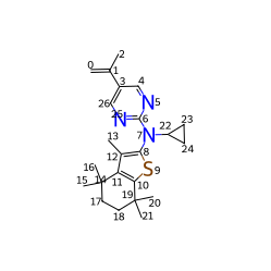 C=C(C)c1cnc(N(c2sc3c(c2C)C(C)(C)CCC3(C)C)C2CC2)nc1